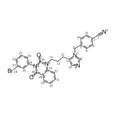 N#Cc1ccc(Cn2cncc2CCCn2c(=O)n(-c3cccc(Br)c3)c(=O)c3ccccc32)cc1